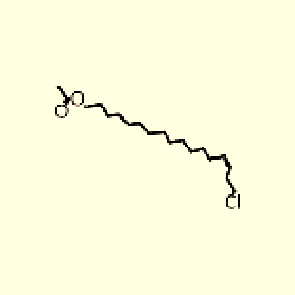 CC(=O)OCCCCCCCCCCCCC/C=C\CCCl